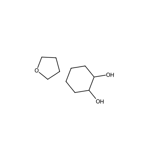 C1CCOC1.OC1CCCCC1O